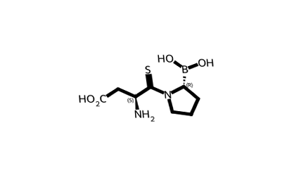 N[C@@H](CC(=O)O)C(=S)N1CCC[C@H]1B(O)O